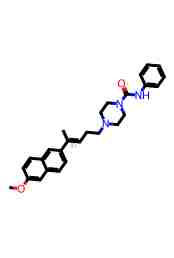 COc1ccc2cc(/C(C)=C/CCN3CCN(C(=O)Nc4ccccc4)CC3)ccc2c1